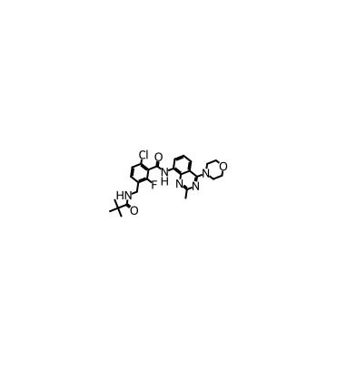 Cc1nc(N2CCOCC2)c2cccc(NC(=O)c3c(Cl)ccc(CNC(=O)C(C)(C)C)c3F)c2n1